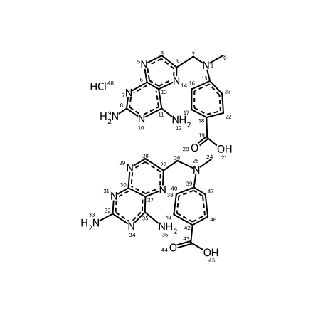 CN(Cc1cnc2nc(N)nc(N)c2n1)c1ccc(C(=O)O)cc1.CN(Cc1cnc2nc(N)nc(N)c2n1)c1ccc(C(=O)O)cc1.Cl